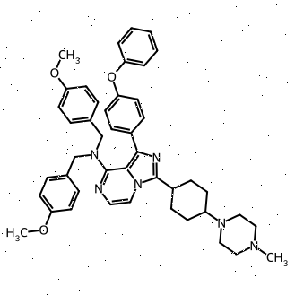 COc1ccc(CN(Cc2ccc(OC)cc2)c2nccn3c(C4CCC(N5CCN(C)CC5)CC4)nc(-c4ccc(Oc5ccccc5)cc4)c23)cc1